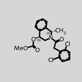 COC(=O)O[C@@H]1CN(C(=O)Cc2c(Cl)cccc2Cl)[C@@H](C)c2ccccc21